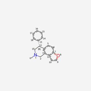 CN1Cc2c(ccc3occc23)[C@@H](c2ccccc2)C1